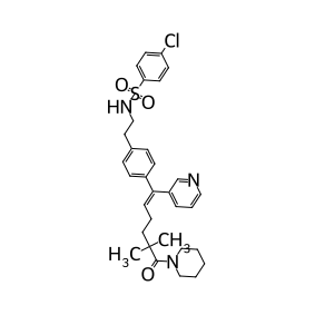 CC(C)(CCC=C(c1ccc(CCNS(=O)(=O)c2ccc(Cl)cc2)cc1)c1cccnc1)C(=O)N1CCCCC1